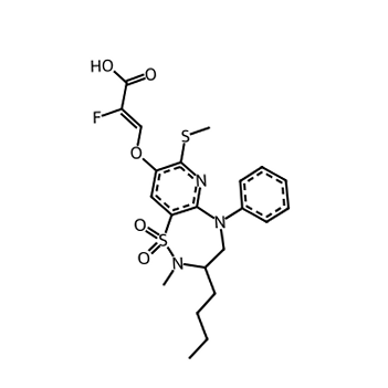 CCCCC1CN(c2ccccc2)c2nc(SC)c(OC=C(F)C(=O)O)cc2S(=O)(=O)N1C